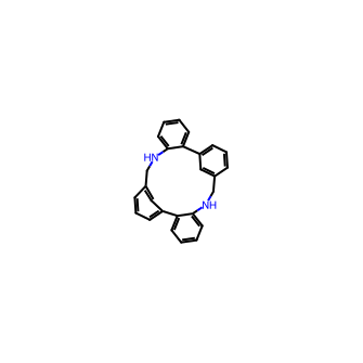 c1cc2cc(c1)-c1ccccc1NCc1cccc(c1)-c1ccccc1NC2